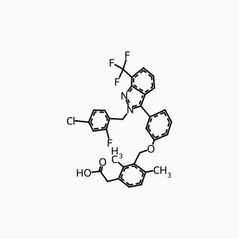 Cc1ccc(CC(=O)O)c(C)c1COc1cccc(-c2c3cccc(C(F)(F)F)c3nn2Cc2ccc(Cl)cc2F)c1